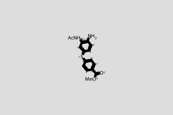 COC(=O)c1ccc(Sc2ccc(N)c(NC(C)=O)c2)cc1